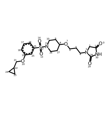 O=C1CN(CCCOC2CCN(S(=O)(=O)c3cccc(OCC4CC4)c3)CC2)C(=O)N1